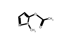 CC(=O)Oc1ccnn1C